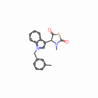 Cc1cccc(Cn2cc(C3C(=O)SC(=O)N3C)c3ccccc32)c1